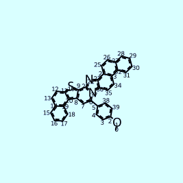 COc1ccc(-c2cc3c(sc4ccc5ccccc5c43)c3nc4c5ccc6ccccc6c5ccc4n23)cc1